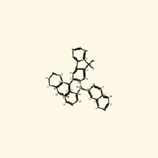 CC1(C)c2ccccc2-c2cc(-c3cccc4c3CCCC4)c(N(c3ccccc3)c3ccc4ccccc4c3)cc21